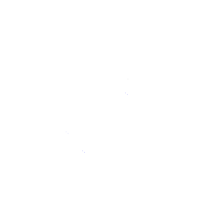 CC(C)(C)OC(=O)N1CCC(Sc2cnc(N)s2)CC1